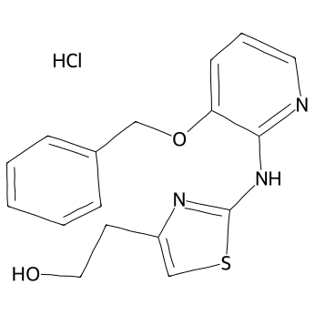 Cl.OCCc1csc(Nc2ncccc2OCc2ccccc2)n1